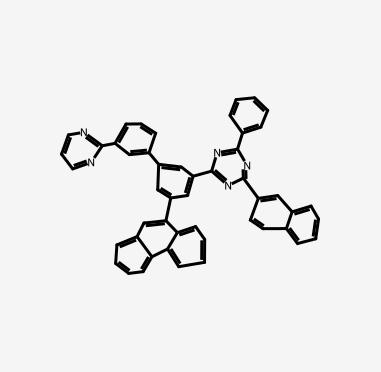 c1ccc(-c2nc(-c3cc(-c4cccc(-c5ncccn5)c4)cc(-c4cc5ccccc5c5ccccc45)c3)nc(-c3ccc4ccccc4c3)n2)cc1